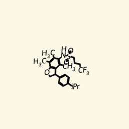 Cc1c(C)c2c(c(C)c1NS(=O)(=O)CCCC(F)(F)F)C(c1ccc(C(C)C)cc1)CO2